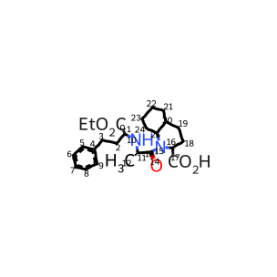 CCOC(=O)C(CCc1ccccc1)N[C@@H](C)C(=O)N1C(C(=O)O)CCC2CCCCC21